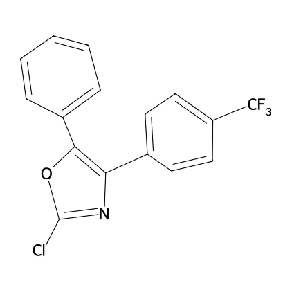 FC(F)(F)c1ccc(-c2nc(Cl)oc2-c2ccccc2)cc1